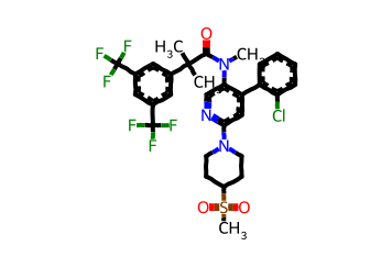 CN(C(=O)C(C)(C)c1cc(C(F)(F)F)cc(C(F)(F)F)c1)c1cnc(N2CCC(S(C)(=O)=O)CC2)cc1-c1ccccc1Cl